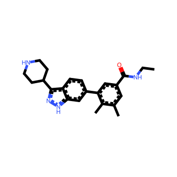 CCNC(=O)c1cc(C)c(C)c(-c2ccc3c(C4CCNCC4)n[nH]c3c2)c1